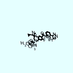 CC(C)n1cnnc1-c1cccc(NC(=O)c2cc3c(cc2F)CN(CC(=O)NC(C)(C)C(F)(F)F)Cc2c(C4CC4)ncn2-3)n1